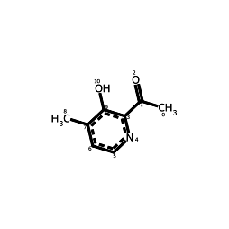 CC(=O)c1nccc(C)c1O